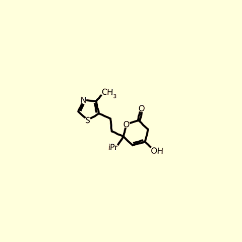 Cc1ncsc1CCC1(C(C)C)C=C(O)CC(=O)O1